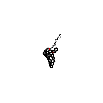 CCOCCOCCOCCN1CC2C3=c4c5c6c7c(cc8cc9cc%10cc%11cc%12c%13c(c4c4c5c5c7c8c7c9c%10c8c%11c%13c4c8c75)=C(C3)C%12)CC62C1c1cccc2ccccc12